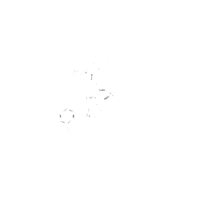 N#CC1(NC(=O)[CH]CC2(C(N)=O)CCCCC2)CCN(Cc2ccccc2Cl)C1